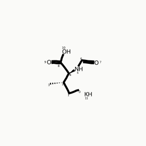 CC[C@H](C)[C@H](NC=O)C(=O)O.[KH]